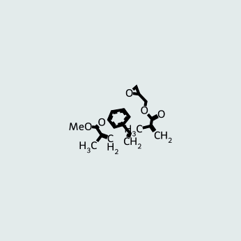 C=C(C)C(=O)OC.C=C(C)C(=O)OCC1CO1.C=Cc1ccccc1